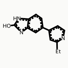 CCc1cc(-c2ccc3[nH]c(O)nc3c2)ccn1